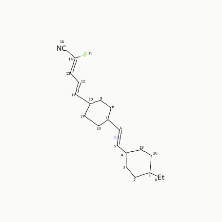 CCC1CCC(/C=C/C2CCC(C=CC=C(F)C#N)CC2)CC1